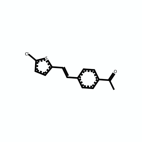 CC(=O)c1ccc(/C=C/c2ccc(Cl)s2)cc1